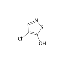 Oc1sncc1Cl